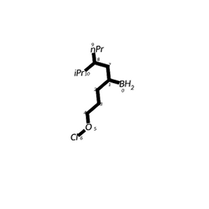 BC(CCCOCl)CC(CCC)C(C)C